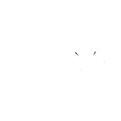 CC(C)(O)C(=O)N1CC(F)(F)[C@H](NS(C)(=O)=O)[C@@H]1Cc1cccc(-c2cccc(F)c2F)c1F